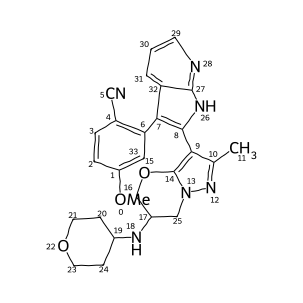 COc1ccc(C#N)c(-c2c(-c3c(C)nn4c3OCC(NC3CCOCC3)C4)[nH]c3ncccc23)c1